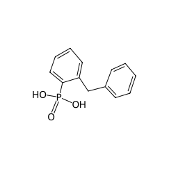 O=P(O)(O)c1ccccc1Cc1ccccc1